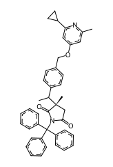 Cc1cc(OCc2ccc(C(C)[C@]3(C)CC(=O)N(C(c4ccccc4)(c4ccccc4)c4ccccc4)C3=O)cc2)cc(C2CC2)n1